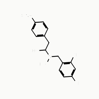 CC(=O)Nc1ccc(CC(O)N(C)Cc2ccc(Cl)cc2Cl)cc1